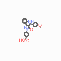 COc1ccc(-c2[nH]c3ccccc3c3nn(-c4ccc(C(=O)O)cc4)c(=O)c2-3)cc1